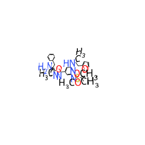 CC(Cc1ccco1)Nc1cc(-c2nnc([C@](C)(N)Cc3ccccc3)o2)cc(N(C)S(=O)(=O)C(C)C)n1